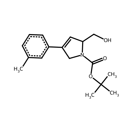 Cc1cccc(C2=CC(CO)N(C(=O)OC(C)(C)C)C2)c1